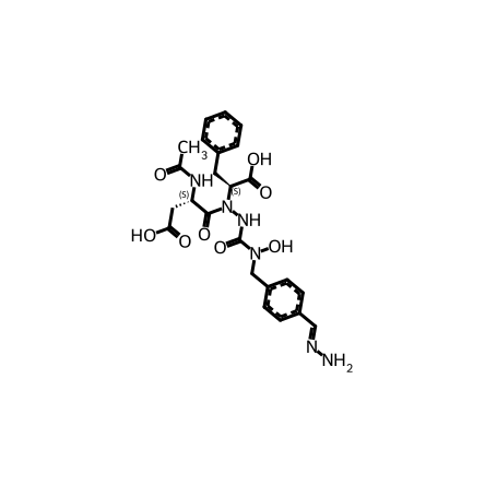 CC(=O)N[C@@H](CC(=O)O)C(=O)N(NC(=O)N(O)Cc1ccc(C=NN)cc1)[C@@H](Cc1ccccc1)C(=O)O